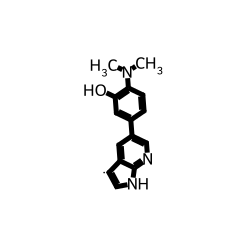 CN(C)c1ccc(-c2cnc3[nH]c[c]c3c2)cc1O